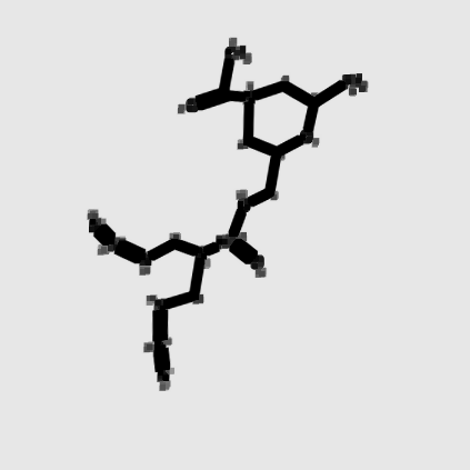 CC(=O)N1CC(P)OC(CO[PH](=O)N(CN=[N+]=[N-])CN=[N+]=[N-])C1